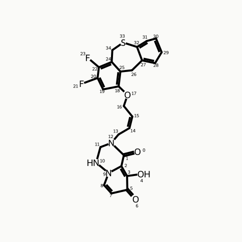 O=C1c2c(O)c(=O)ccn2NCN1C/C=C\COc1cc(F)c(F)c2c1Cc1ccccc1SC2